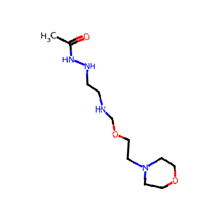 CC(=O)NNCCNCOCCN1CCOCC1